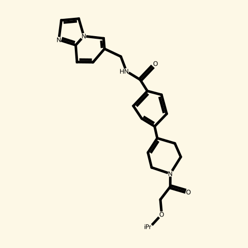 CC(C)OCC(=O)N1CC=C(c2ccc(C(=O)NCc3ccc4nccn4c3)cc2)CC1